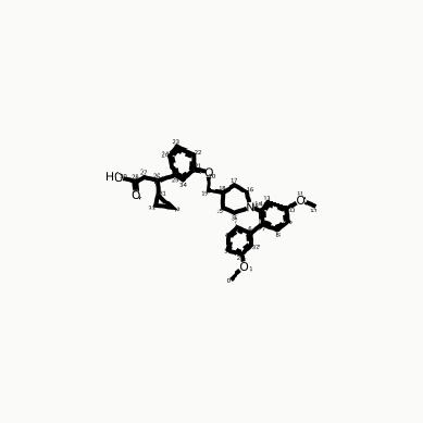 COc1cccc(-c2ccc(OC)cc2N2CCC(COc3cccc(C(CC(=O)O)C4CC4)c3)CC2)c1